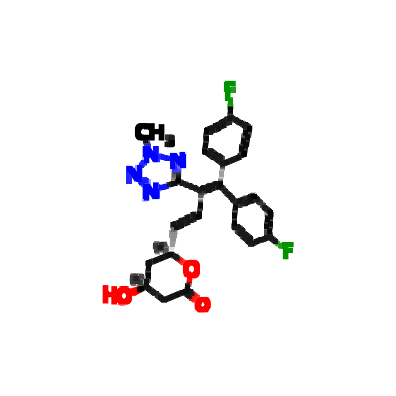 Cn1nnc(C(C=C[C@H]2C[C@H](O)CC(=O)O2)=C(c2ccc(F)cc2)c2ccc(F)cc2)n1